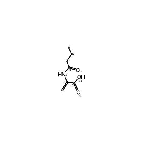 C=C(NC(=O)CCC)C(=O)O